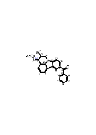 CC(=O)O/N=C1/c2cccc3c4cc(C(=O)c5ccccc5)ccc4n(c23)CC1Br